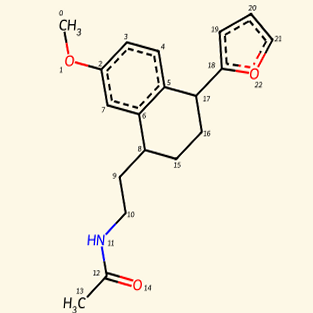 COc1ccc2c(c1)C(CCNC(C)=O)CCC2c1ccco1